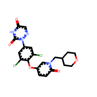 O=c1cnn(-c2cc(Cl)c(Oc3ccc(=O)n(CC4CCOCC4)c3)c(Cl)c2)c(=O)[nH]1